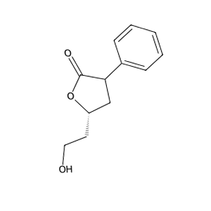 O=C1O[C@@H](CCO)CC1c1ccccc1